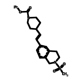 CC(C)OC(=O)N1CCC(C=Cc2ccc3c(c2)CCN(S(C)(=O)=O)C3)CC1